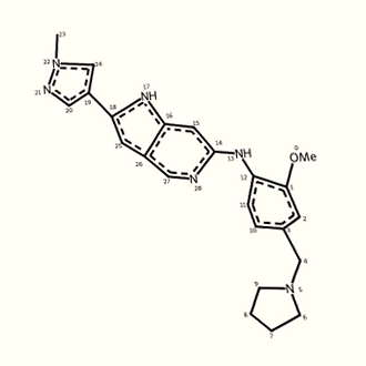 COc1cc(CN2CCCC2)ccc1Nc1cc2[nH]c(-c3cnn(C)c3)cc2cn1